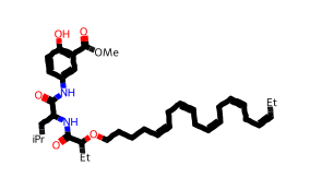 CC/C=C\C/C=C\C/C=C\C/C=C\C/C=C\CCCCOC(CC)C(=O)NC(CC(C)C)C(=O)Nc1ccc(O)c(C(=O)OC)c1